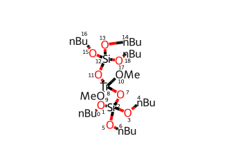 CCCCO[Si](OCCCC)(OCCCC)[O][Ti]([O]C)([O]C)[O][Si](OCCCC)(OCCCC)OCCCC